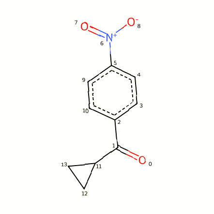 O=C(c1ccc([N+](=O)[O-])cc1)C1CC1